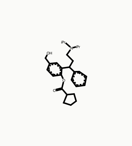 CC(C)N(CCC(c1ccccc1)c1cc(CO)ccc1OC(=O)C1CCCC1)C(C)C